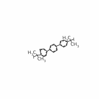 CC(C)(I)c1ccc(-c2ccc(-c3ccc(C(C)(C)I)cc3)cc2)cc1